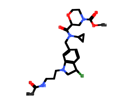 COC(=O)NCCCN1CC(Cl)c2ccc(CN(C(=O)C3CN(C(=O)OC(C)(C)C)CCO3)C3CC3)cc21